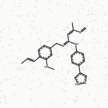 C=N/C(C)=C\C(=N/Cc1ccc(/C=C/C)c(NC)c1)Nc1ccc(-c2cn[nH]c2)cc1